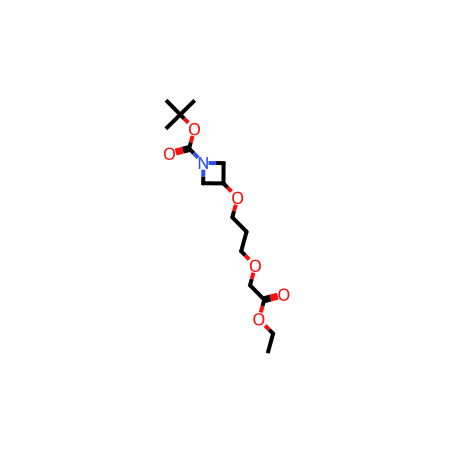 CCOC(=O)COCCCOC1CN(C(=O)OC(C)(C)C)C1